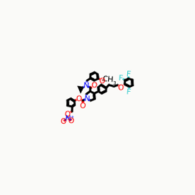 COc1cccc(CN(C(=O)C2CN(C(=O)Oc3cccc(CO[N+](=O)[O-])c3)CC=C2c2ccc(CCCOc3c(F)ccc(F)c3F)cc2)C2CC2)c1